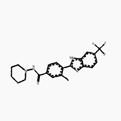 Cc1cc(C(=O)NN2CCCCC2)ccc1-c1nc2ccc(C(F)(F)F)cc2[nH]1